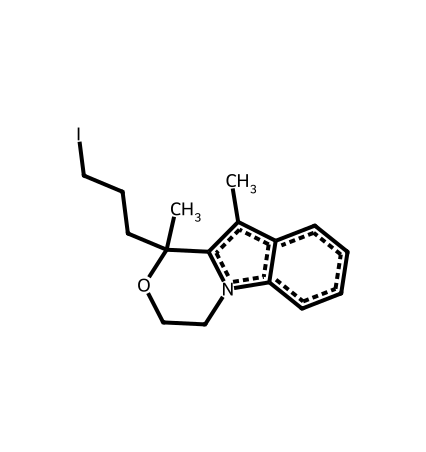 Cc1c2n(c3ccccc13)CCOC2(C)CCCI